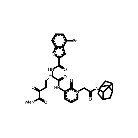 CNC(=O)C(=O)CC[C@H](NC(=O)c1cc2c(Br)cccc2o1)C(=O)Nc1cccn(CC(=O)NC2C3CC4CC(C3)C2C4)c1=O